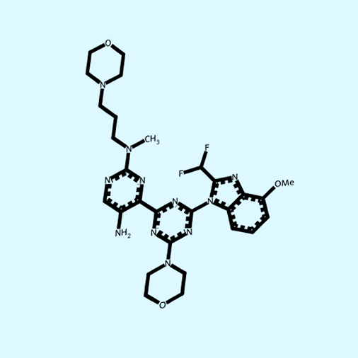 COc1cccc2c1nc(C(F)F)n2-c1nc(-c2nc(N(C)CCCN3CCOCC3)ncc2N)nc(N2CCOCC2)n1